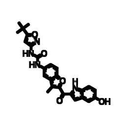 Cc1c(C(=O)c2cc3cc(O)ccc3[nH]2)oc2ccc(NC(=O)Nc3cc(C(C)(C)C)on3)cc12